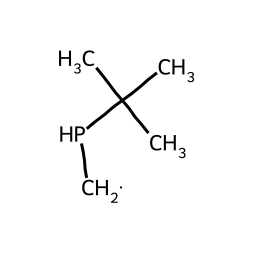 [CH2]PC(C)(C)C